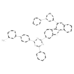 N#Cc1cccc(-c2ccc(-c3nc(-c4ccccc4)nc(-c4ccc5c(c4)oc4c6ccccc6cc(-c6cccc(-c7ccccc7)c6)c54)n3)cc2)c1